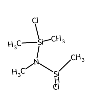 CN([SiH](C)Cl)[Si](C)(C)Cl